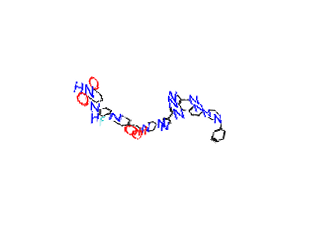 N#Cc1cnn2cc(-c3cnn(C4CCN(C(=O)CC5(O)CCN(c6ccc(NC7CCC(=O)NC7=O)cc6F)CC5)CC4)c3)nc(-c3ccc(N4CCCN(Cc5ccccc5)CC4)nc3)c12